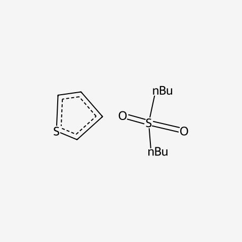 CCCCS(=O)(=O)CCCC.c1ccsc1